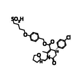 CC1=C(C(=O)OCc2ccc(OCCCCS(=O)(=O)O)cc2)[C@H](c2ccc(Cl)cc2)CC(=O)N1C[C@H]1CCCO1